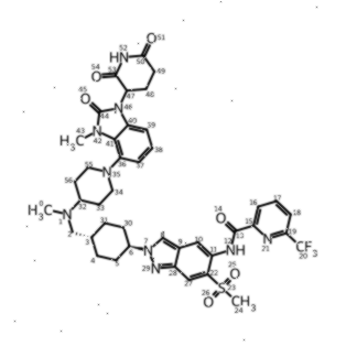 CN(C[C@H]1CC[C@H](n2cc3cc(NC(=O)c4cccc(C(F)(F)F)n4)c(S(C)(=O)=O)cc3n2)CC1)C1CCN(c2cccc3c2n(C)c(=O)n3C2CCC(=O)NC2=O)CC1